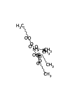 CCCCCCCCC(=O)O/C=C(/COC(=O)CCN(CCC(=O)OCCCOC(=O)CCCCCCCC)C(=O)SCCCN(C)C)OC(=O)CCCCCCCC